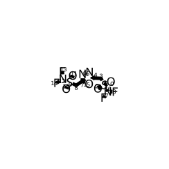 O=S(=O)(Cc1nnc(CS(=O)(=O)N(F)F)o1)N(F)F